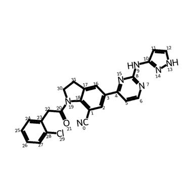 N#Cc1cc(-c2ccnc(Nc3cc[nH]n3)n2)cc2c1N(C(=O)Cc1ccccc1Cl)CC2